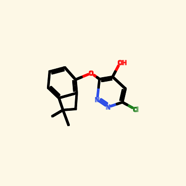 CC1(C)Cc2c(Oc3nnc(Cl)cc3O)cccc21